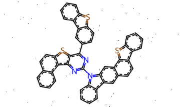 c1ccc2c(c1)ccc1sc3c(-c4ccc5sc6ccccc6c5c4)nc(-n4c5ccccc5c5cc6ccc7c8ccccc8sc7c6cc54)nc3c12